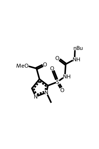 CCCCNC(=O)NS(=O)(=O)c1c(C(=O)OC)cnn1C